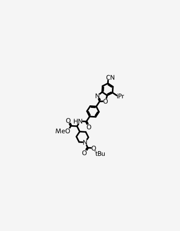 COC(=O)C(NC(=O)c1ccc(-c2nc3cc(C#N)cc(C(C)C)c3o2)cc1)C1CCN(C(=O)OC(C)(C)C)CC1